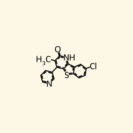 Cc1c(-c2cccnc2)c2sc3ccc(Cl)cc3c2[nH]c1=O